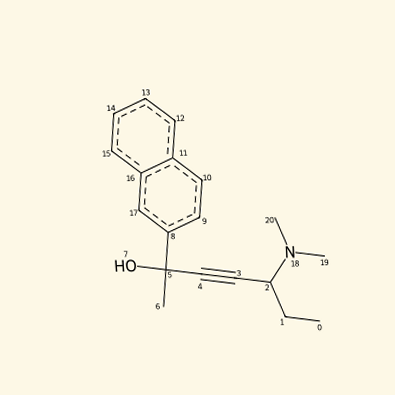 CCC(C#CC(C)(O)c1ccc2ccccc2c1)N(C)C